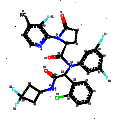 N#Cc1ccnc(N2C(=O)CC[C@H]2C(=O)N(c2cc(F)cc(F)c2)C(C(=O)NC2CC(F)(F)C2)c2ccccc2Cl)c1F